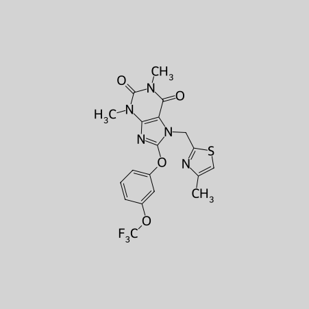 Cc1csc(Cn2c(Oc3cccc(OC(F)(F)F)c3)nc3c2c(=O)n(C)c(=O)n3C)n1